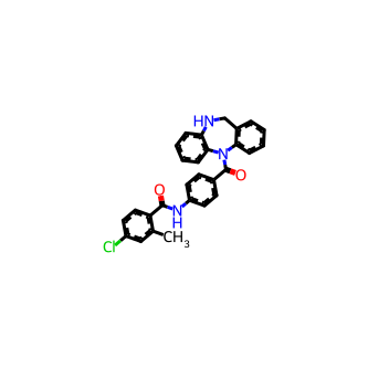 Cc1cc(Cl)ccc1C(=O)Nc1ccc(C(=O)N2c3ccccc3CNc3ccccc32)cc1